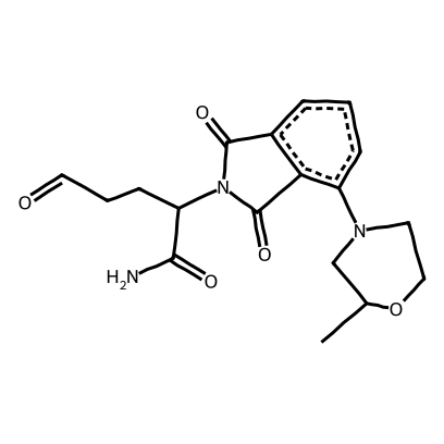 CC1CN(c2cccc3c2C(=O)N(C(CCC=O)C(N)=O)C3=O)CCO1